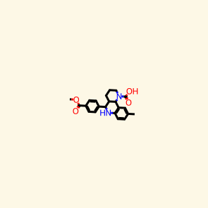 COC(=O)c1ccc(C2Nc3ccc(C)cc3C3C2CCCN3C(=O)O)cc1